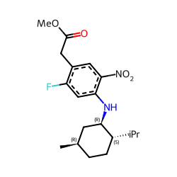 COC(=O)Cc1cc([N+](=O)[O-])c(N[C@@H]2C[C@H](C)CC[C@H]2C(C)C)cc1F